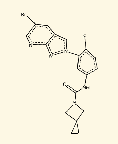 O=C(Nc1ccc(F)c(-n2cc3cc(Br)cnc3n2)c1)N1CC2(CC2)C1